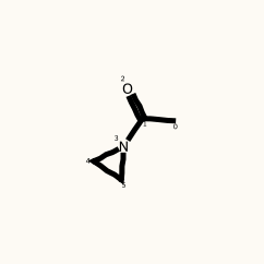 CC(=O)N1CC1